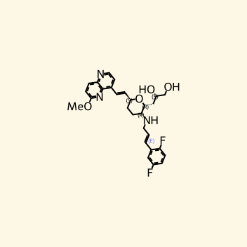 COc1ccc2nccc(C=C[C@@H]3CC[C@@H](NC/C=C/c4cc(F)ccc4F)[C@@H](C[C@H](O)CO)O3)c2n1